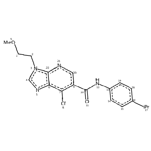 COCCn1cnc2c(Cl)c(C(=O)Nc3ccc(C(C)C)cc3)cnc21